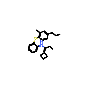 CCCc1ccc(Sc2ccccc2NC(CC)=C2CCC2)c(C)c1